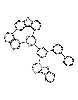 c1ccc(-c2cccc(-c3cc(-c4nc(-c5ccccc5)nc(-c5cccc6oc7ccc(-c8ccccc8)cc7c56)n4)cc(-c4cccc5c4sc4ccccc45)c3)c2)cc1